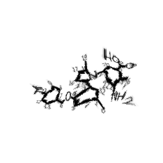 Cc1ccc(OCc2ccc(F)cc2)c(-c2ccc(C)n2-c2cc(N)c(C)c(C(=O)O)c2)c1